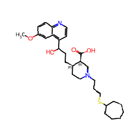 COc1ccc2nccc(C(O)CC[C@@H]3CCN(CCCSC4CCCCCC4)C[C@@H]3C(=O)O)c2c1